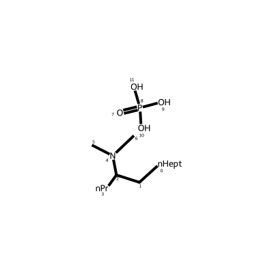 CCCCCCCCC(CCC)N(C)C.O=P(O)(O)O